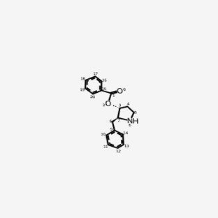 O=C(O[C@@H]1CCN[C@H]1Cc1ccccc1)c1ccccc1